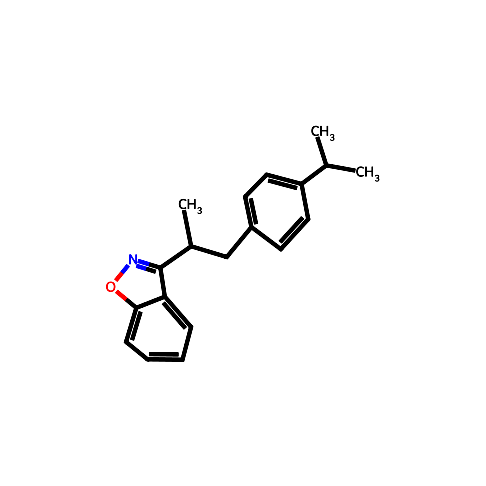 CC(C)c1ccc(CC(C)c2noc3ccccc23)cc1